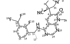 CC(=O)N1CC[C@@](C#N)(c2cc3c(N[C@H](C)c4cccc(C(F)F)c4F)ncnc3n(C)c2=O)C1